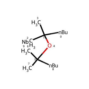 CCCCC(C)(C)OC(C)(C)CCCC.[Nb]